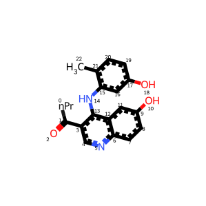 CCCC(=O)c1cnc2ccc(O)cc2c1Nc1cc(O)ccc1C